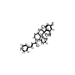 C[C@@H](SC1CCN(C(=O)/C=C/c2ccncc2)CC1)[C@](O)(Cn1cncn1)c1ccc(F)cc1F